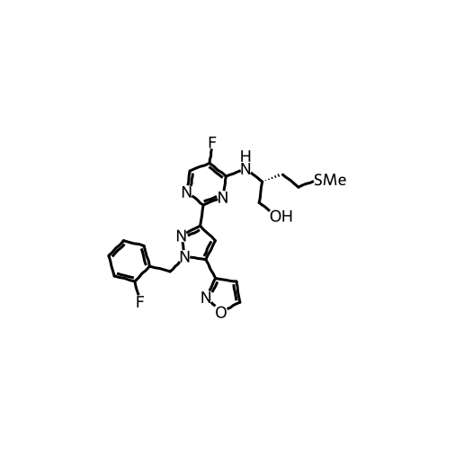 CSCC[C@H](CO)Nc1nc(-c2cc(-c3ccon3)n(Cc3ccccc3F)n2)ncc1F